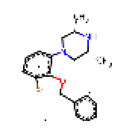 C[C@@H]1CN(c2cccc(Br)c2OCc2ccccc2)C[C@H](C)N1